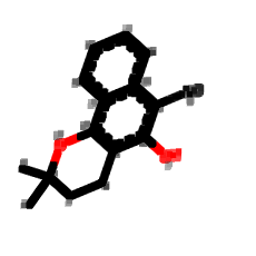 CC1(C)CCc2c(O)c(N=O)c3ccccc3c2O1